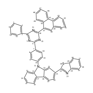 c1ccc(-c2nc(-c3ccc(-n4c5ccccc5c5ccc(-c6nc7ccccc7s6)cc54)cc3)nc(-c3cc4ccccc4c4ccccc34)n2)cc1